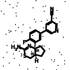 N#Cc1cncc(-c2ccc(F)c([C@]34CCC[C@H]3CSC(N)=N4)c2)c1